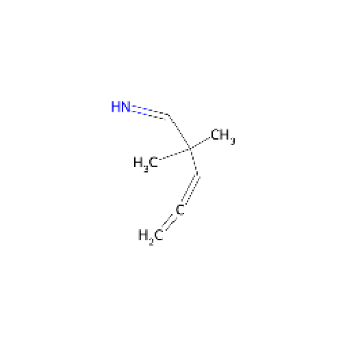 C=C=CC(C)(C)C=N